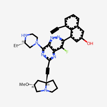 C#Cc1cccc2cc(O)cc(-c3nnc4c(N5CCN[C@@H](CC)C5)nc(C#C[C@@]56CCCN5C[C@H](OC)C6)nc4c3F)c12